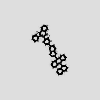 c1ccc2c(-c3c4ccccc4c(-c4ccc5cc(-c6ccc7c(c6)oc6c8ccccc8c8oc9ccccc9c8c76)ccc5c4)c4ccccc34)cccc2c1